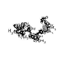 C=C1C[C@H]2[C@H](O)N(C(=O)OCc3ccc(NC(=O)[C@H](C)NC(=O)[C@@H](NC(=O)CCN4C(=O)C=CC4=O)C(C)C)cc3)c3cc(OCc4cc(C(=O)O)cc(COc5cc6c(cc5OC)C(=O)N5CC(=C)C[C@H]5[C@H](OC5CCCCO5)N6C(=O)OC(C)(C)C)n4)c(OC)cc3C(=O)N2C1